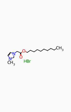 Br.CCCCCCCCCCOC(=O)CN1C=CN(C)C1